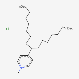 CCCCCCCCCCCCCCCCC(CCCCCCCCCCCCCCCC)c1cc[n+](C)cc1.[Cl-]